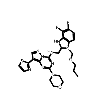 CCCOCN1c2ccc(F)c(F)c2NC1CNc1nc(N2CCOCC2)nc2c(-c3nccs3)cnn12